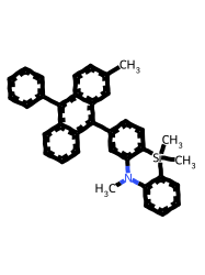 Cc1ccc2c(-c3ccccc3)c3ccccc3c(-c3ccc4c(c3)N(C)c3ccccc3[Si]4(C)C)c2c1